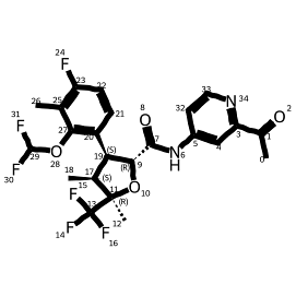 CC(=O)c1cc(NC(=O)[C@@H]2O[C@@](C)(C(F)(F)F)[C@@H](C)[C@H]2c2ccc(F)c(C)c2OC(F)F)ccn1